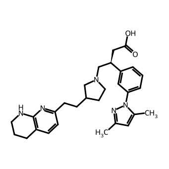 Cc1cc(C)n(-c2cccc([C@H](CC(=O)O)CN3CCC(CCc4ccc5c(n4)NCCC5)C3)c2)n1